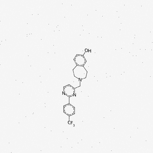 Oc1ccc2c(c1)CCN(Cc1ccnc(-c3ccc(C(F)(F)F)cc3)n1)CC2